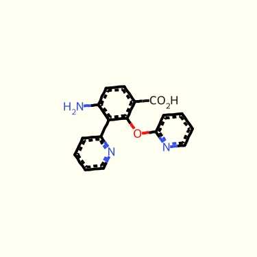 Nc1ccc(C(=O)O)c(Oc2ccccn2)c1-c1ccccn1